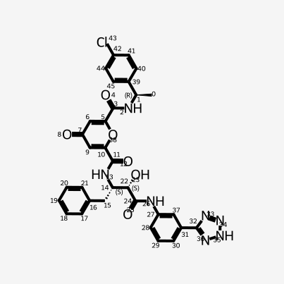 C[C@@H](NC(=O)c1cc(=O)cc(C(=O)N[C@@H](Cc2ccccc2)[C@H](O)C(=O)Nc2cccc(-c3nn[nH]n3)c2)o1)c1ccc(Cl)cc1